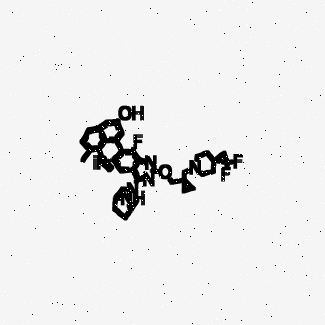 C#Cc1c(C)ccc2cc(O)cc(-c3c(C(C)C)cc4c(N5CC6CCC(C5)N6)nc(OCC5(CN6CCC7(CC6)CC7(F)F)CC5)nc4c3F)c12